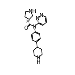 O=C([C@@H]1CCNC1)N(c1ccc(C2CCNCC2)cc1)c1cccnn1